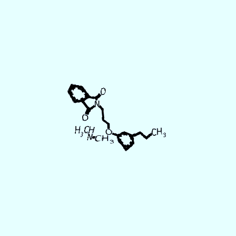 CCCc1cccc(OCCCN2C(=O)c3ccccc3C2=O)c1.CNC